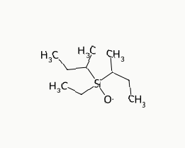 CCC(C)[Si]([O])(CC)C(C)CC